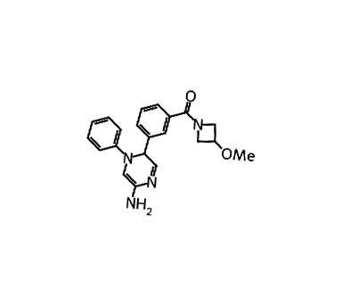 COC1CN(C(=O)c2cccc(C3C=NC(N)=CN3c3ccccc3)c2)C1